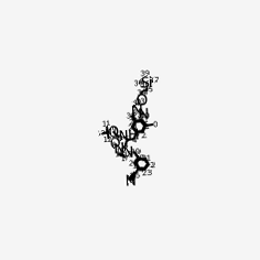 Cc1cc(CC(NC(=O)OC(C)(C)C)c2nccn2Cc2cccc(C#N)c2)cc2cn(COCC[Si](C)(C)C)nc12